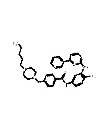 Cc1ccc(NC(=O)c2ccc(CN3CCN(CCCCN)CC3)cc2)cc1Nc1nccc(-c2cccnc2)n1